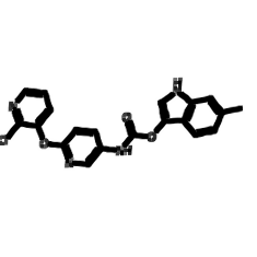 Cc1ccc2c(OC(=O)Nc3ccc(Oc4cccnc4Cl)nc3)c[nH]c2c1